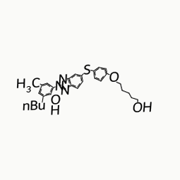 CCCCc1cc(C)cc(-n2nc3ccc(Sc4ccc(OCCCCCCO)cc4)cc3n2)c1O